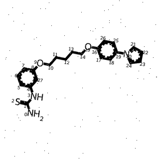 NC(=S)Nc1cccc(OCCCCCOc2ccc(-n3cccc3)cc2)c1